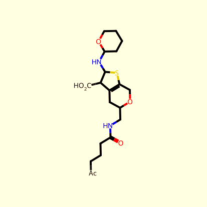 CC(=O)CCCC(=O)NCC1CC2=C(CO1)SC(NC1CCCCO1)C2C(=O)O